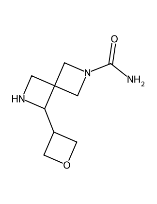 NC(=O)N1CC2(CNC2C2COC2)C1